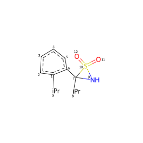 CC(C)c1ccccc1C1(C(C)C)NS1(=O)=O